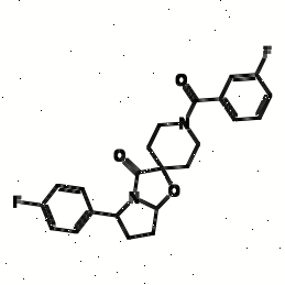 O=C(c1cccc(F)c1)N1CCC2(CC1)OC1CCC(c3ccc(F)cc3)N1C2=O